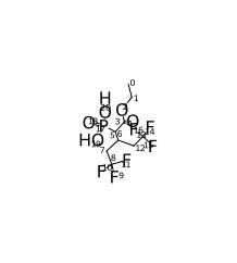 CCOC(=O)C(C(CC(F)(F)F)CC(F)(F)F)P(=O)(O)O